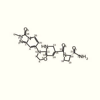 Cn1nc2cc(N3CCOC4=C3NCC(C(=O)N3CC[C@H]3C(N)=O)=C4)ccn2c1=O